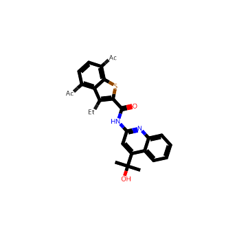 CCc1c(C(=O)Nc2cc(C(C)(C)O)c3ccccc3n2)sc2c(C(C)=O)ccc(C(C)=O)c12